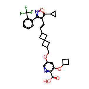 O=C(O)c1ncc(OCC2CC3(CC(C=Cc4c(-c5ccccc5C(F)(F)F)noc4C4CC4)C3)C2)cc1OC1CCC1